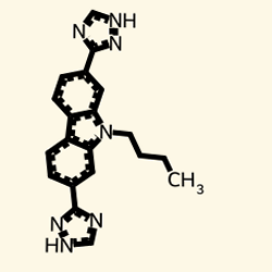 CCCCn1c2cc(-c3nc[nH]n3)ccc2c2ccc(-c3nc[nH]n3)cc21